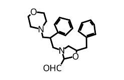 O=CC1OC(Cc2ccccc2)CN1CC(CN1CCOCC1)c1ccccc1